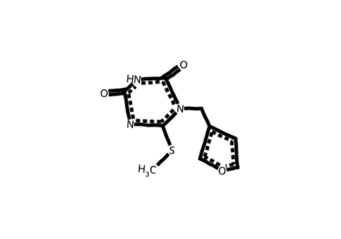 CSc1nc(=O)[nH]c(=O)n1Cc1ccoc1